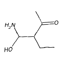 CCC(C(C)=O)C(N)O